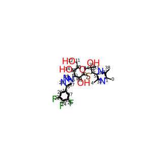 Cc1nc(C)c(C(S[C@@H]2O[C@H](CO)[C@H](O)[C@H](n3cc(-c4cc(F)c(F)c(F)c4)nn3)[C@H]2O)C(C)(C)O)nc1C